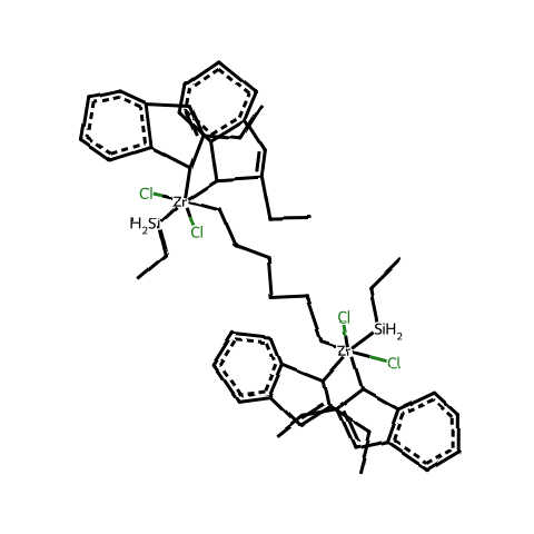 CC[SiH2][Zr]([Cl])([Cl])([CH2]CCCC[CH2][Zr]([Cl])([Cl])([SiH2]CC)([CH]1C(CC)=Cc2ccccc21)[CH]1C(CC)=Cc2ccccc21)([CH]1C(CC)=Cc2ccccc21)[CH]1C(CC)=Cc2ccccc21